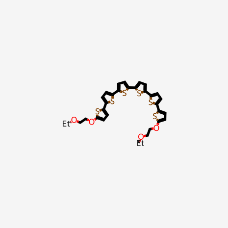 CCOCCOc1ccc(-c2ccc(-c3ccc(-c4ccc(-c5ccc(-c6ccc(OCCOCC)s6)s5)s4)s3)s2)s1